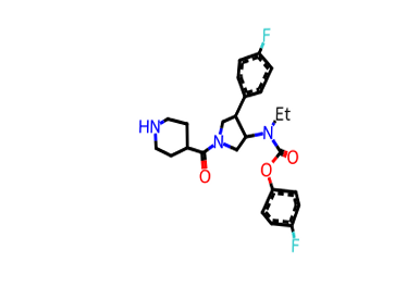 CCN(C(=O)Oc1ccc(F)cc1)C1CN(C(=O)C2CCNCC2)CC1c1ccc(F)cc1